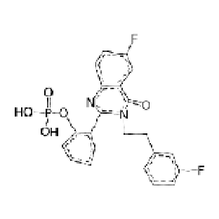 O=c1c2cc(F)ccc2nc(-c2ccccc2OP(=O)(O)O)n1CCc1cccc(F)c1